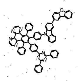 c1ccc(-c2nc(-c3ccccc3)nc(-c3ccc(-c4c(-c5ccc(-n6c7ccccc7c7cc(-c8ccc9oc%10ccccc%10c9c8)ccc76)cc5)c(-c5ccccc5)c5c6nccnc6c6nccnc6c5c4-c4ccccc4)cc3)n2)cc1